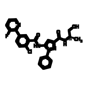 C[C@@H](CO)NC(=O)c1cc(NC(=O)c2cc(-c3ncccc3F)ccc2Cl)n(-c2ccccc2)n1